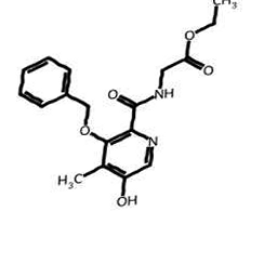 CCOC(=O)CNC(=O)c1ncc(O)c(C)c1OCc1ccccc1